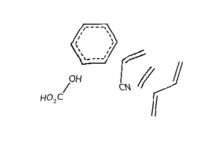 C=C.C=CC#N.C=CC=C.O=C(O)O.c1ccccc1